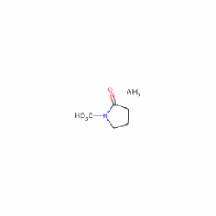 O=C(O)N1CCCC1=O.[AlH3]